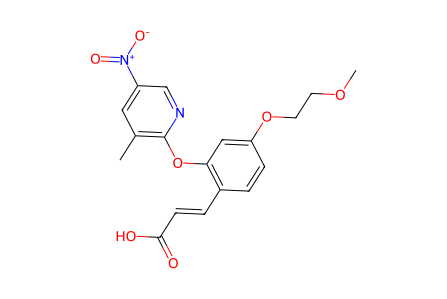 COCCOc1ccc(C=CC(=O)O)c(Oc2ncc([N+](=O)[O-])cc2C)c1